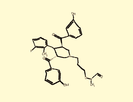 Cc1c(F)cccc1C1[C@@H](C(=O)c2cccc(O)c2)CN(CCCON(C)C=O)C[C@@H]1C(=O)c1cccc(O)c1